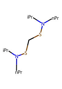 CCCN(SCSN(CCC)C(C)C)C(C)C